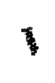 CCCC(O)c1ccc(C2CCC3C(c4ccc(OCC)c(F)c4F)=CCC32)c(F)c1